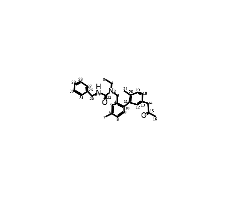 CCN(Cc1cc(C)ccc1-c1cc(CC(C)=O)ccc1C)C(=O)NCc1ccccc1